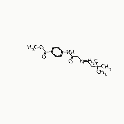 COC(=O)c1ccc(NC(=O)CN=CCC(C)(C)C)cc1